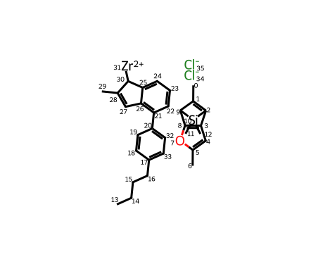 CC1=C2c3cc(C)oc3C1[Si]2(C)C.CCCCc1ccc(-c2cccc3c2C=C(C)[CH]3[Zr+2])cc1.[Cl-].[Cl-]